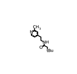 Cc1cc(CCNC(=O)CC(C)(C)C)ccn1